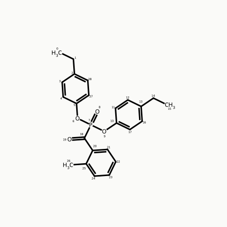 CCc1ccc(OP(=O)(Oc2ccc(CC)cc2)C(=O)c2ccccc2C)cc1